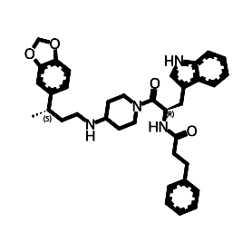 C[C@@H](CCNC1CCN(C(=O)[C@@H](Cc2c[nH]c3ccccc23)NC(=O)CCc2ccccc2)CC1)c1ccc2c(c1)OCO2